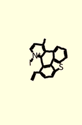 C=Cc1ccc2sc3cccc4c5c(C)cc[n+](I)c5c1c2c34